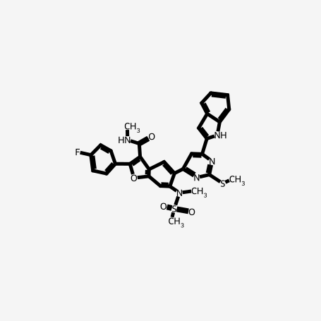 CNC(=O)c1c(-c2ccc(F)cc2)oc2cc(N(C)S(C)(=O)=O)c(-c3cc(-c4cc5ccccc5[nH]4)nc(SC)n3)cc12